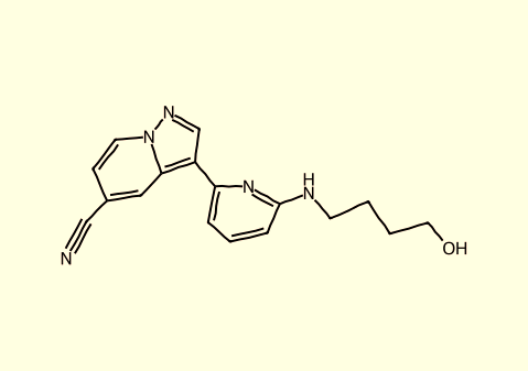 N#Cc1ccn2ncc(-c3cccc(NCCCCO)n3)c2c1